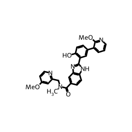 COc1ccnc(CN(C)C(=O)c2ccc3[nH]c(-c4cc(-c5cccnc5OC)ccc4O)nc3c2)c1